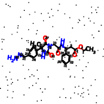 CCOC(=O)C[C@H](NC(=O)CN1C(=O)N[C@](C)(c2ccc(C=NN)cc2)C1=O)c1ccccc1